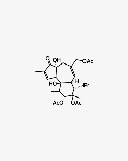 CC(=O)OCC1=C[C@H]2[C@H](C(C)C)[C@@](C)(OC(C)=O)[C@H](OC(C)=O)[C@@H](C)[C@]2(O)C2C=C(C)C(=O)[C@@]2(O)C1